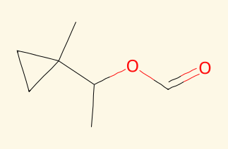 CC(OC=O)C1(C)CC1